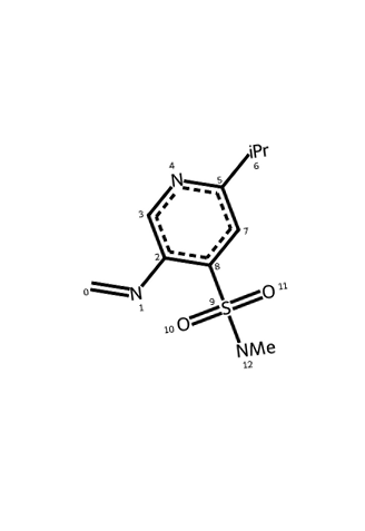 C=Nc1cnc(C(C)C)cc1S(=O)(=O)NC